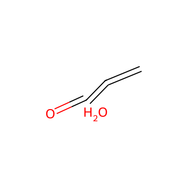 C=C=C=O.O